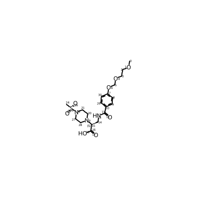 COCCOCOc1ccc(C(=O)NC[C@@H](C(=O)O)N2CCN(S(C)(=O)=O)CC2)cc1